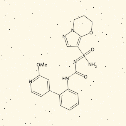 COc1cc(-c2ccccc2NC(=O)N=S(N)(=O)c2cnn3c2OCCC3)ccn1